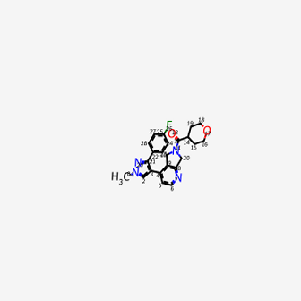 Cn1cc(-c2ccnc3c2CN(C(=O)C2CCOCC2)C3)c(-c2ccc(F)cc2)n1